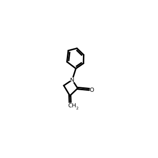 C=C1CN(c2ccccc2)C1=O